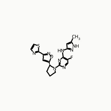 Cc1cc(Nc2nc(N3CCC[C@H]3c3cc(-c4nccs4)no3)ncc2F)n[nH]1